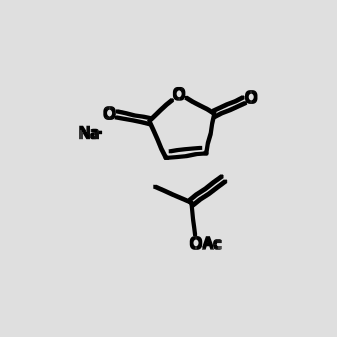 C=C(C)OC(C)=O.O=C1C=CC(=O)O1.[Na]